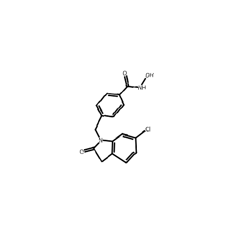 O=C(NO)c1ccc(CN2C(=O)Cc3ccc(Cl)cc32)cc1